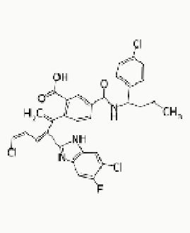 C=C(/C(=C\C=C/Cl)c1nc2cc(F)c(Cl)cc2[nH]1)c1ccc(C(=O)NC(CCC)c2ccc(Cl)cc2)cc1C(=O)O